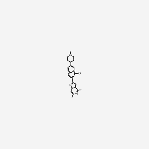 Cc1cn2nc(C3=C\C(=O)N4C=C(C5CCN(C)CC5)C=C\C4=C/C=C/3)cc2c(C)n1